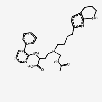 CC(=O)NCN(CCCCc1ccc2c(n1)NCCC2)CCC(Nc1ncncc1-c1ccccc1)C(=O)O